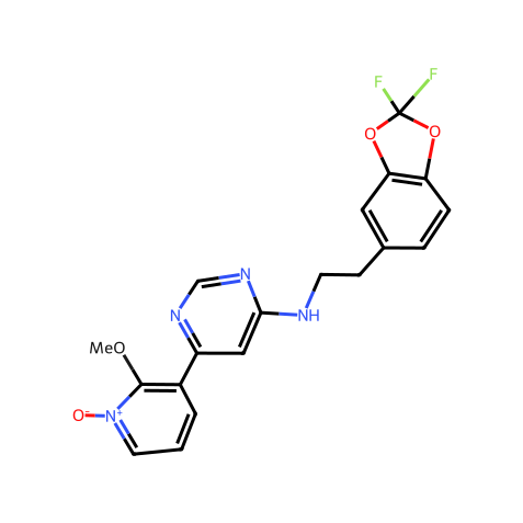 COc1c(-c2cc(NCCc3ccc4c(c3)OC(F)(F)O4)ncn2)ccc[n+]1[O-]